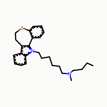 CCCCN(C)CCCCCCn1c2c(c3ccccc31)CCSc1ccccc1-2